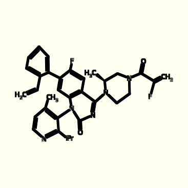 C=Cc1ccccc1-c1cc2c(cc1F)c(N1CCN(C(=O)C(=C)F)C[C@@H]1C)nc(=O)n2-c1c(C)ccnc1C(C)C